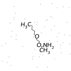 CCCCCOCCOC(C)N